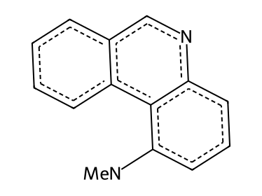 CNc1cccc2ncc3ccccc3c12